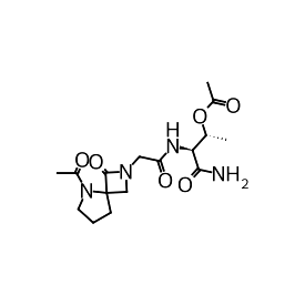 CC(=O)O[C@H](C)[C@H](NC(=O)CN1CC2(CCCN2C(C)=O)C1=O)C(N)=O